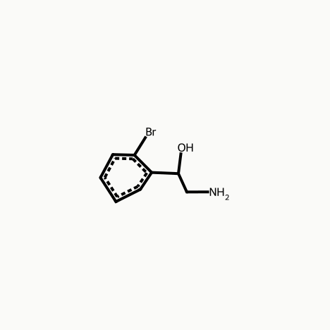 NCC(O)c1ccccc1Br